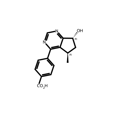 C[C@@H]1C[C@@H](O)c2ncnc(-c3ccc(C(=O)O)cc3)c21